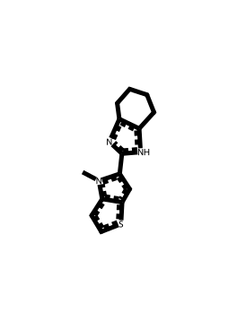 Cn1c(-c2nc3c([nH]2)CCCC3)cc2sccc21